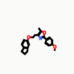 COc1ccc(-c2nc(CCOc3ccc4c(c3)CCC4)c(C)o2)cc1